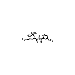 O=CN(O)C[C@@H](CCCC(F)(F)F)C(=O)NNc1nccc(C(F)(F)F)n1